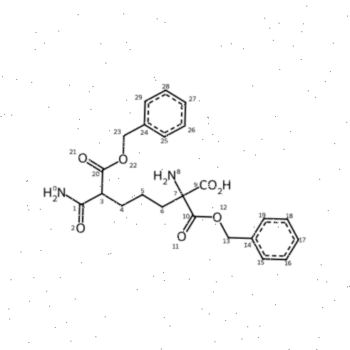 NC(=O)C(CCCC(N)(C(=O)O)C(=O)OCc1ccccc1)C(=O)OCc1ccccc1